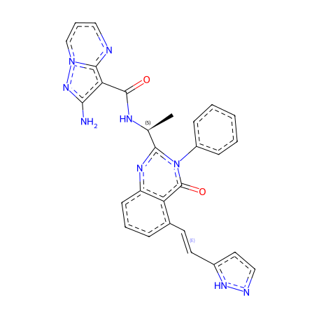 C[C@H](NC(=O)c1c(N)nn2cccnc12)c1nc2cccc(/C=C/c3ccn[nH]3)c2c(=O)n1-c1ccccc1